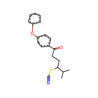 CC(C)C(CCC(=O)c1ccc(Oc2ccccc2)cc1)SC#N